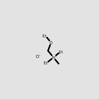 CCOC[N+](C)(CC)CC.[Cl-]